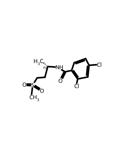 C[C@@H](CCS(C)(=O)=O)NC(=O)c1ccc(Cl)cc1Cl